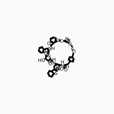 COC(=O)[C@@H]1Cc2ccc(cc2)OCCn2cc(nn2)COc2ccccc2C(=O)N[C@H](Cc2ccccc2)C(=O)N2C[C@@H](O)C[C@@H]2C(=O)N[C@@H](Cc2csc3ccccc23)C(=O)N1